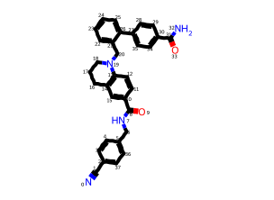 N#Cc1ccc(CNC(=O)c2ccc3c(c2)CCCN3Cc2ccccc2-c2ccc(C(N)=O)cc2)cc1